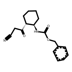 N#CCC(=O)[C@@H]1CCCC[C@H]1NC(=O)OCc1ccccc1